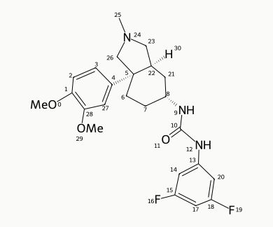 COc1ccc([C@@]23CC[C@@H](NC(=O)Nc4cc(F)cc(F)c4)C[C@@H]2CN(C)C3)cc1OC